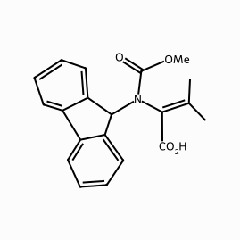 COC(=O)N(C(C(=O)O)=C(C)C)C1c2ccccc2-c2ccccc21